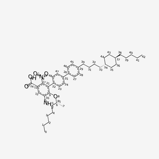 CCCCCC[C@@H](C)Oc1c(N)cc(C(=O)O)c([N+](=O)[O-])c1-c1ccc(-c2ccc(CCCC[C@H]3CC[C@H](CCCCC)CC3)cc2)cc1